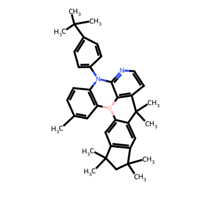 Cc1ccc2c(c1)B1c3cc4c(cc3C(C)(C)c3ccnc(c31)N2c1ccc(C(C)(C)C)cc1)C(C)(C)CC4(C)C